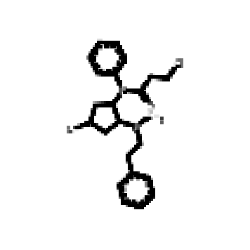 CN(CCc1ccccc1)C1CC(Cl)CC1N(C(=O)CCCl)c1ccccc1